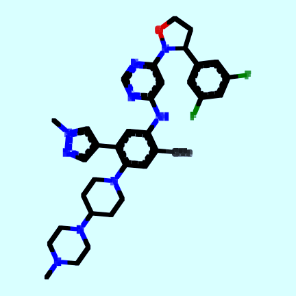 COc1cc(N2CCC(N3CCN(C)CC3)CC2)c(-c2cnn(C)c2)cc1Nc1cc(N2OCCC2c2cc(F)cc(F)c2)ncn1